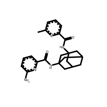 Cc1cccc(C(=O)NC23CC4CC(C2)CC(NC(=O)c2cccc(N)n2)(C4)C3)n1